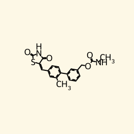 CNC(=O)OCc1cccc(-c2ccc(C=C3SC(=O)NC3=O)cc2C)c1